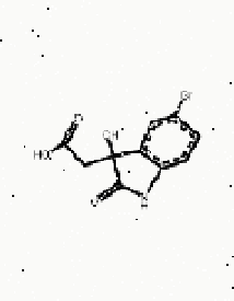 O=C(O)CC1(O)C(=O)Nc2ccc(Br)cc21